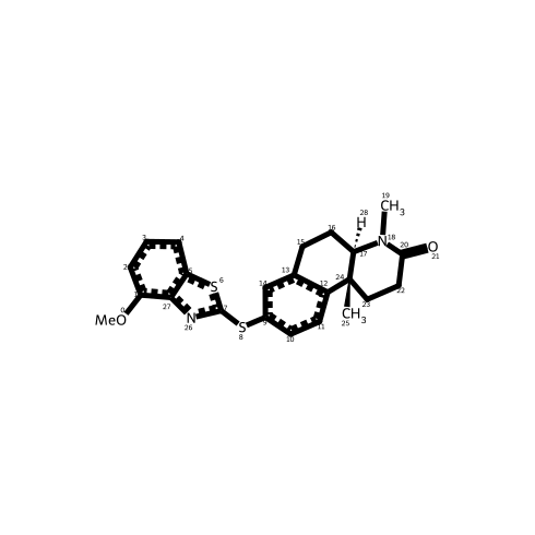 COc1cccc2sc(Sc3ccc4c(c3)CC[C@H]3N(C)C(=O)CC[C@]43C)nc12